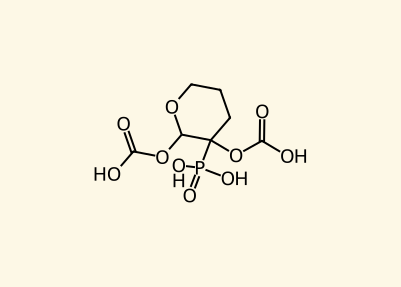 O=C(O)OC1OCCCC1(OC(=O)O)P(=O)(O)O